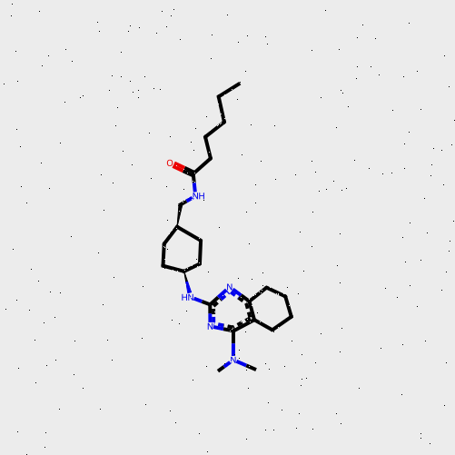 CCCCCC(=O)NC[C@H]1CC[C@@H](Nc2nc3c(c(N(C)C)n2)CCCC3)CC1